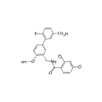 CCCOc1ccc(-c2cc(C(=O)O)ccc2F)cc1CNC(=O)c1ccc(Cl)cc1Cl